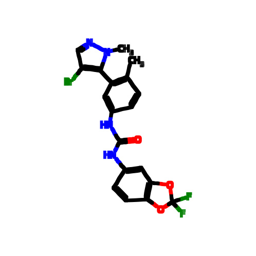 Cc1ccc(NC(=O)Nc2ccc3c(c2)OC(F)(F)O3)cc1-c1c(Br)cnn1C